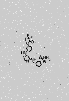 NS(=O)(=O)c1cccc(CNc2cc(Nc3cccc(OC(=O)C(F)(F)F)c3)ncn2)c1